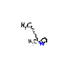 CCCCCCCCCCC(C)C1=N[N]c2ccccc21